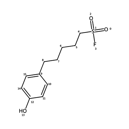 O=S(=O)(F)CCCCCc1ccc(O)cc1